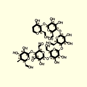 C[C@H]1[C@H](O)[C@@H](O)[C@@H](O[C@H]2[C@H](O)[C@@H](O)[C@@H](O[C@H]3[C@H](O)[C@@H](O)[C@@H](O[C@H]4[C@H](O)[C@@H](O)[C@@H](O[C@H]5[C@H](O)[C@@H](O)[C@@H](O[C@H]6[C@H](O)CCO[C@@H]6CO)O[C@@H]5CO)O[C@@H]4CO)O[C@@H]3CO)O[C@@H]2CO)O[C@@H]1CO